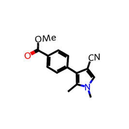 COC(=O)c1ccc(-c2c(C#N)cn(C)c2C)cc1